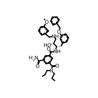 CCCN(CCC)C(=O)c1cc(C(N)=O)cc(C(=O)N[C@@H](Cc2cccc(OCc3ccccc3)c2)[C@H](O)CNCc2cccc(OC)c2)c1